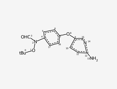 CC(C)(C)ON(C=O)c1ccc(Oc2ccc(N)nc2)cc1